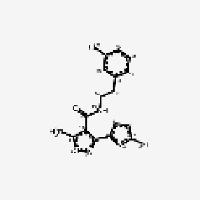 CCc1ccc(-c2noc(N)c2C(=O)NCCc2cccc(Cl)c2)s1